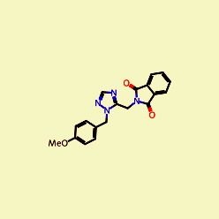 COc1ccc(Cn2ncnc2CN2C(=O)c3ccccc3C2=O)cc1